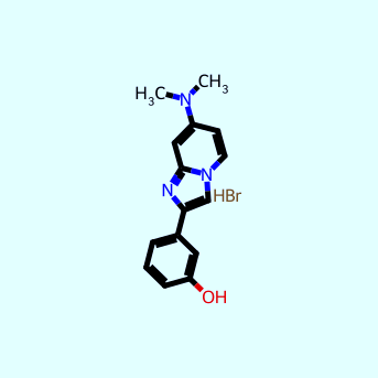 Br.CN(C)c1ccn2cc(-c3cccc(O)c3)nc2c1